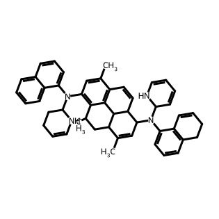 CC1=CC(N(c2cccc3c2C=CCC3)C2C=CC=CN2)C2C=Cc3c(C)cc(N(c4cccc5ccccc45)C4CCC=CN4)c4c3C2C1CC4C